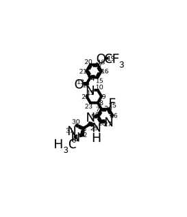 Cn1cc(-c2nc3c(C4CCN(C(=O)c5ccc(OC(F)(F)F)cc5)CC4)c(F)cnc3[nH]2)cn1